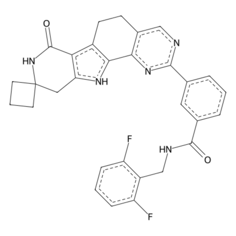 O=C(NCc1c(F)cccc1F)c1cccc(-c2ncc3c(n2)-c2[nH]c4c(c2CC3)C(=O)NC2(CCC2)C4)c1